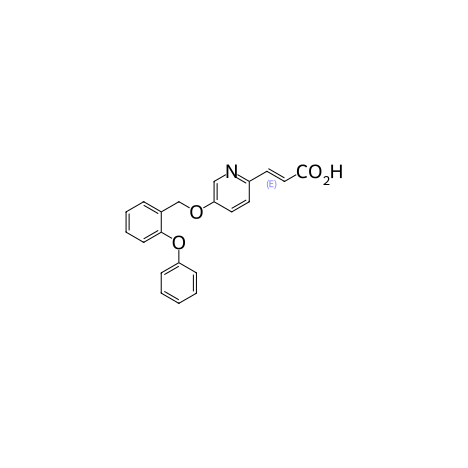 O=C(O)/C=C/c1ccc(OCc2ccccc2Oc2ccccc2)cn1